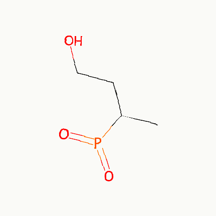 CC(CCO)P(=O)=O